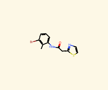 Cc1c(Br)cccc1NC(=O)Cc1nccs1